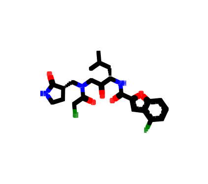 CC(C)C[C@H](NC(=O)c1cc2c(F)cccc2o1)C(=O)CN(C[C@@H]1CCNC1=O)C(=O)CCl